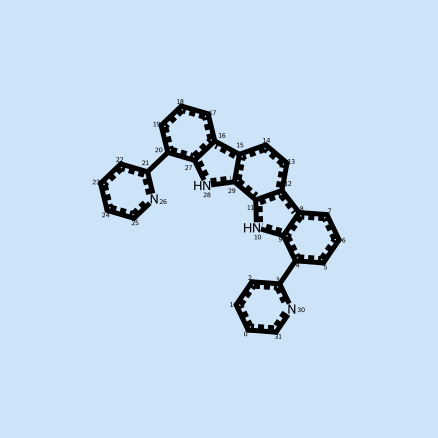 c1ccc(-c2cccc3c2[nH]c2c3ccc3c4cccc(-c5ccccn5)c4[nH]c32)nc1